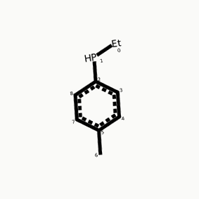 CCPc1ccc(C)cc1